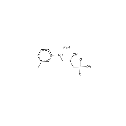 Cc1cccc(NCC(O)CS(=O)(=O)O)c1.[NaH]